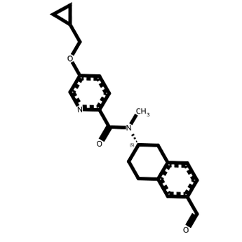 CN(C(=O)c1ccc(OCC2CC2)cn1)[C@H]1CCc2cc(C=O)ccc2C1